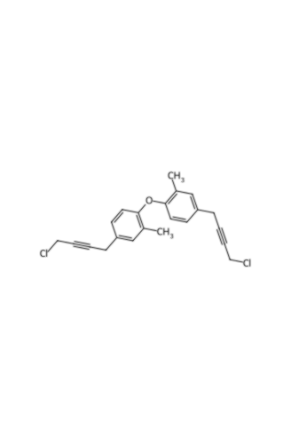 Cc1cc(CC#CCCl)ccc1Oc1ccc(CC#CCCl)cc1C